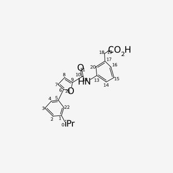 CC(C)c1cccc(-c2ccc(C(=O)Nc3cccc(CC(=O)O)c3)o2)c1